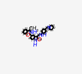 C[C@H](NC(=O)c1ccc2c(c1)C(=CNc1ccc(CN3CCCCC3)cc1)C(=O)N2)c1ccccc1